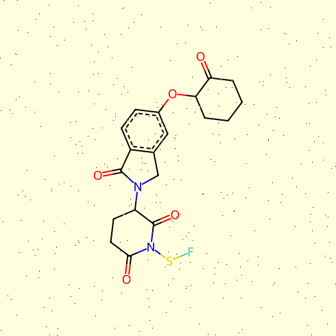 O=C1CCCCC1Oc1ccc2c(c1)CN(C1CCC(=O)N(SF)C1=O)C2=O